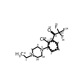 CCN1CCN(c2cccc(C(=O)C(F)(F)F)c2Cl)CC1